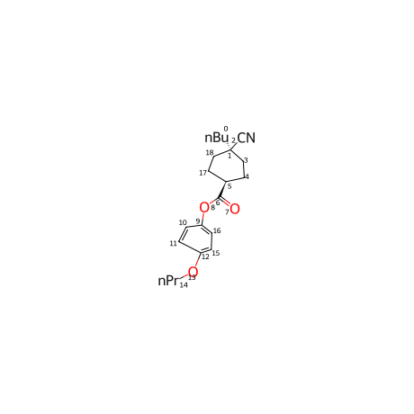 CCCC[C@]1(C#N)CC[C@@H](C(=O)Oc2ccc(OCCC)cc2)CC1